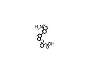 Cc1cc(-c2ccc3ccnc(N)c3c2)cc2c1CCC2Oc1ccccc1CC(=O)O